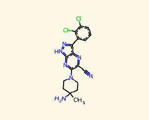 CC1(N)CCN(c2nc3[nH]nc(-c4cccc(Cl)c4Cl)c3nc2C#N)CC1